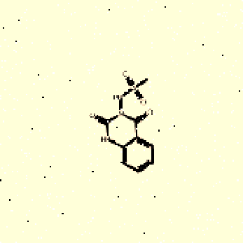 CS(=O)(=O)Nn1c(=O)[nH]c2ccccc2c1=O